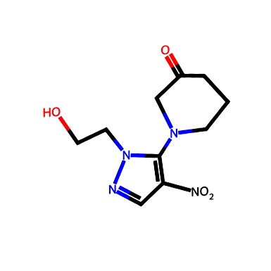 O=C1CCCN(c2c([N+](=O)[O-])cnn2CCO)C1